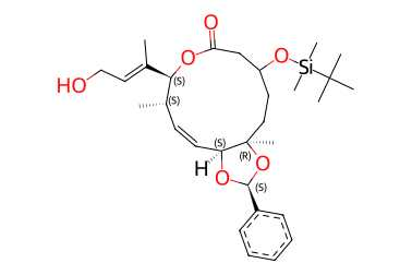 CC(=CCO)[C@H]1OC(=O)CC(O[Si](C)(C)C(C)(C)C)CC[C@@]2(C)O[C@@H](c3ccccc3)O[C@H]2C=C[C@@H]1C